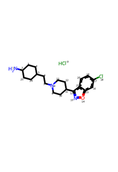 Cl.NC1CCC(CCN2CCC(c3noc4cc(Cl)ccc34)CC2)CC1